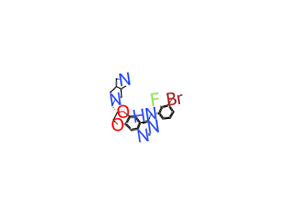 CN1CC2CN(C[C@H]3COc4cc5ncnc(Nc6cccc(Br)c6F)c5cc4O3)CC2C1